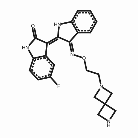 O=C1Nc2ccc(F)cc2/C1=C1/Nc2ccccc2/C1=N\OCCN1CC2(CNC2)C1